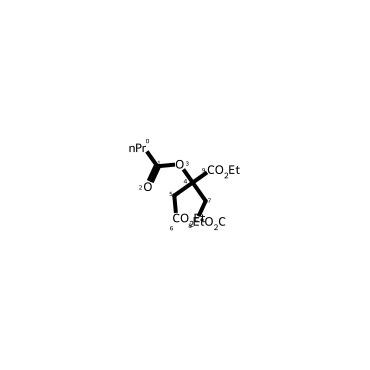 CCCC(=O)OC(CC(=O)OCC)(CC(=O)OCC)C(=O)OCC